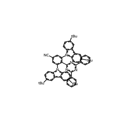 CC(C)(C)c1ccc2c(c1)c1cc(C(C)(C)C)ccc1n2-c1cc(C#N)cc(-n2c3ccc(C(C)(C)C)cc3c3cc(C(C)(C)C)ccc32)c1-c1nc(-c2ccccc2)nc(-c2ccccc2)n1